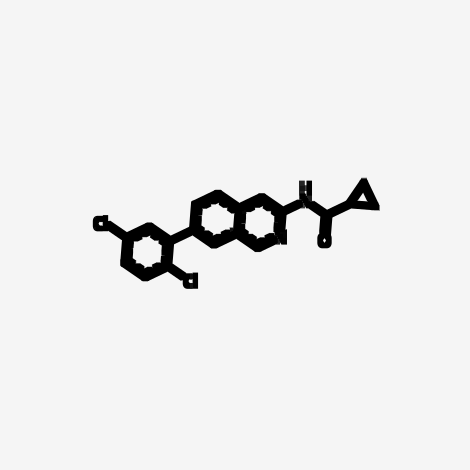 O=C(Nc1cc2ccc(-c3cc(Cl)ccc3Cl)cc2cn1)C1CC1